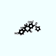 COc1cc2c(cc1[S+]([O-])N1CCCC1)C(=O)Cc1c([nH]c3cc(C#N)ccc13)C2(C)C